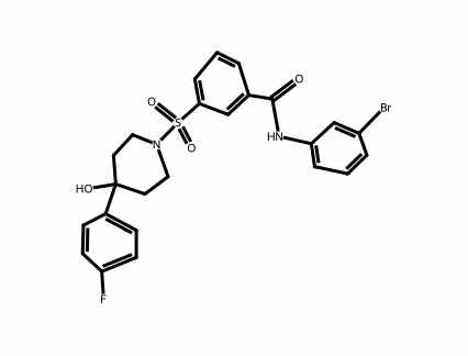 O=C(Nc1cccc(Br)c1)c1cccc(S(=O)(=O)N2CCC(O)(c3ccc(F)cc3)CC2)c1